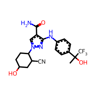 CC(O)(c1ccc(Nc2nn(C3CCC(O)CC3C#N)cc2C(N)=O)cc1)C(F)(F)F